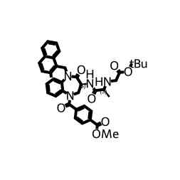 COC(=O)c1ccc(C(=O)N2C[C@H](NC(=O)[C@H](C)NCC(=O)OC(C)(C)C)C(=O)N(Cc3c(C)ccc4ccccc34)c3ccccc32)cc1